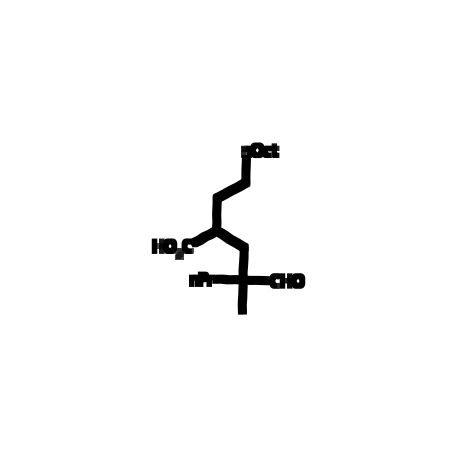 CCCCCCCCCCC(CC(C)(C=O)CCC)C(=O)O